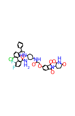 NC(=O)c1ccc(F)c(F)c1-c1cc([C@H](CNC2CCC(NC(=O)COc3ccc4c(c3)C(=O)N(C3CCC(=O)NC3=O)C4=O)CC2)c2ccccc2)ccc1Cl